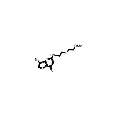 COCCOCCNc1cc(=S)c2scc(Br)c2o1